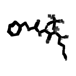 CC(=O)[C@H](CCCI)NC(=O)[C@@H](C[Si](C)(C)C)NC(=O)OCc1ccccc1